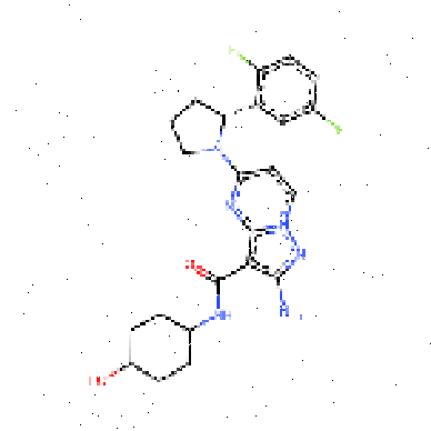 Nc1nn2ccc(N3CCC[C@@H]3c3cc(F)ccc3F)nc2c1C(=O)NC1CCC(O)CC1